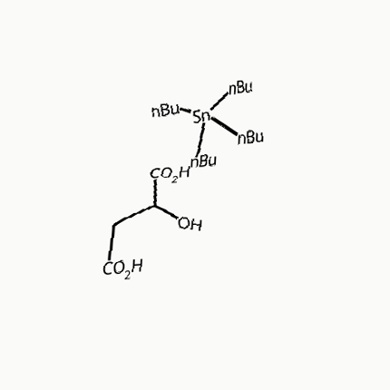 CCC[CH2][Sn]([CH2]CCC)([CH2]CCC)[CH2]CCC.O=C(O)CC(O)C(=O)O